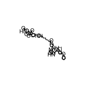 O=C1CC[C@H](N2C(=O)c3ccc(N4CCN(CCCCCCC(=O)N5CCC(Nc6ncnc7[nH]cc(C(=O)c8ccc(Oc9ccccc9)cc8Cl)c67)CC5)CC4)cc3C2=O)C(=O)N1